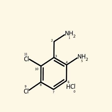 Cl.NCc1c(N)ccc(Cl)c1Cl